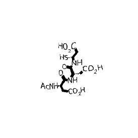 CC(=O)N[C@@H](CC(=O)O)C(=O)N[C@@H](CC(=O)O)C(=O)N[C@H](S)CC(=O)O